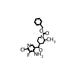 C[C@H]1CC(C(=O)c2cnc(Cl)c(F)c2N)CCN1C(=O)OCc1ccccc1